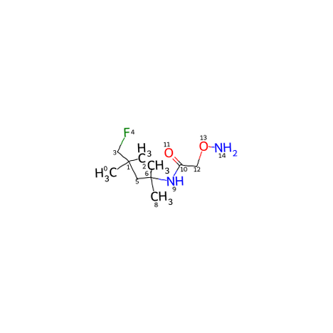 CC(C)(CF)CC(C)(C)NC(=O)CON